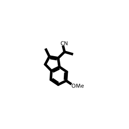 COc1ccc2c(c1)C(C(C)C#N)=C(C)C2